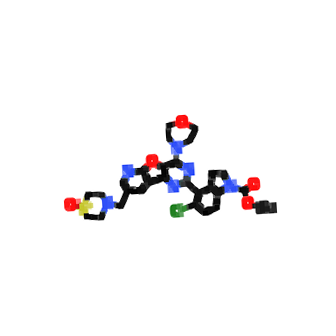 CC(C)(C)OC(=O)n1ccc2c(-c3nc(N4CCOCC4)c4oc5ncc(CN6CC[S+]([O-])CC6)cc5c4n3)c(Cl)ccc21